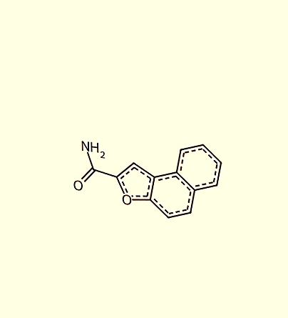 NC(=O)c1cc2c(ccc3ccccc32)o1